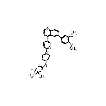 COc1ccc(-c2ccc3ncnc(-c4ccc(N5CCN(OC(=O)OC(C)(C)C)CC5)nc4)c3c2)cc1OC